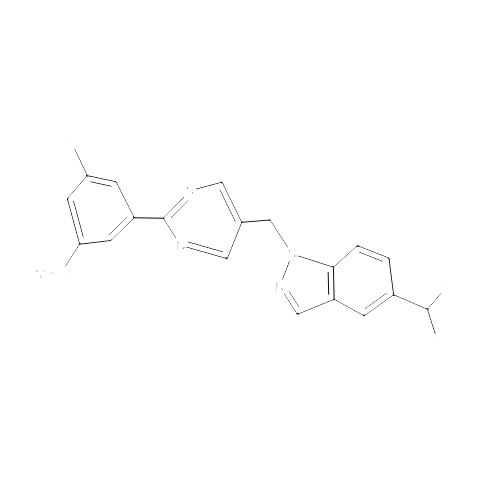 COc1cc(F)cc(-c2ncc(Cn3ncc4cc(C(F)F)ccc43)cn2)c1